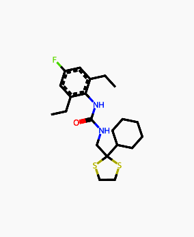 CCc1cc(F)cc(CC)c1NC(=O)NCC1(C2CCCCC2)SCCS1